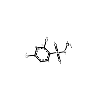 C[N]S(=O)(=O)c1ccc(Cl)cc1Cl